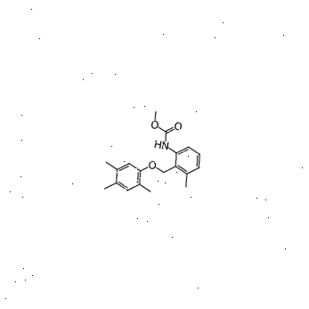 COC(=O)Nc1cccc(C)c1COc1cc(C)c(C)cc1C